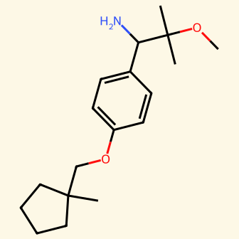 COC(C)(C)C(N)c1ccc(OCC2(C)CCCC2)cc1